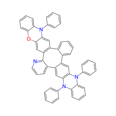 c1ccc(-n2c3ccccc3oc3cc4c(cc32)c2ccccc2c2cc3c(cc2c2cccnc24)n(-c2ccccc2)c2ccccc2n3-c2ccccc2)cc1